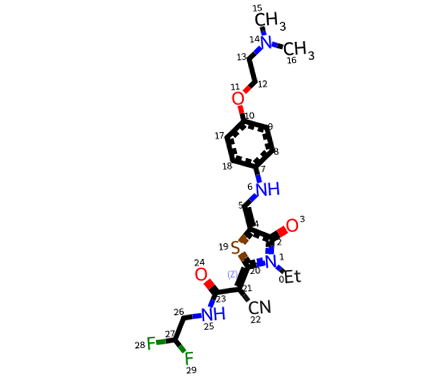 CCn1c(=O)c(=CNc2ccc(OCCN(C)C)cc2)s/c1=C(/C#N)C(=O)NCC(F)F